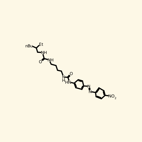 CCCCC(CC)CNC(=O)NCCCCNC(=O)Nc1ccc(N=Nc2ccc([N+](=O)[O-])cc2)cc1